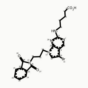 O=C(O)CCCCNc1ncc2c(Br)cn(CCCN3C(=O)c4ccccc4C3=O)c2n1